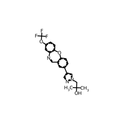 CC(C)(O)Cn1cc(-c2ccc3c(c2)C=Nc2cc(OC(F)(F)F)ccc2O3)cn1